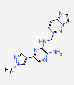 Cn1cc(-c2cnc(N)c(NCc3ccc4nccn4n3)n2)cn1